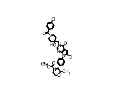 C[C@H]1OCCN(C(=O)OC(C)(C)C)[C@@H]1c1ccc(-n2c(Cl)cc3c(=O)n(CC4(O)CCN(C(=O)c5ccc(Cl)cc5)CC4)cnc32)cc1